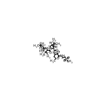 CCCC(NC(=O)[C@@H]1[C@@H]2[C@H](CN1C(=O)[C@@H](NC(=O)OC(C)(C)C)C(C)(C)C)C2(C)C)C(=O)C(=O)NCCS(C)(=O)=O